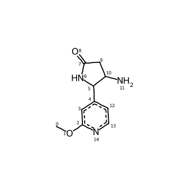 COc1cc(C2NC(=O)CC2N)ccn1